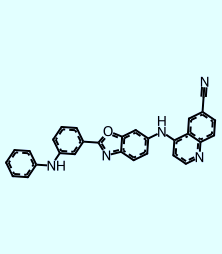 N#Cc1ccc2nccc(Nc3ccc4nc(-c5cccc(Nc6ccccc6)c5)oc4c3)c2c1